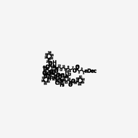 CCCCCCCCCCCCCC(=O)OCCCCCCCC(=O)N[C@H]1C(OCc2ccccc2)O[C@@H]2CO[C@@H](c3ccccc3)O[C@H]2[C@@H]1OC(C)C(=O)NC(C)C(=O)NC(CCC(=O)OCc1ccccc1)C(N)=O